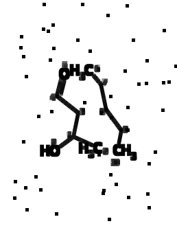 CC(O)CC=O.CCCCC